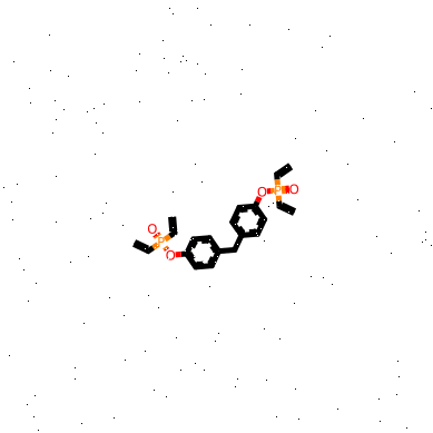 C=CP(=O)(C=C)Oc1ccc(Cc2ccc(OP(=O)(C=C)C=C)cc2)cc1